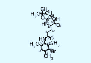 Cc1cc(C)c(NC(=O)CCC(NC(=O)OC(C)(C)C)C(=O)O)c(C)c1Br